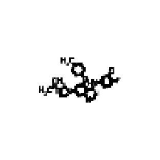 CN1CCC(Oc2cc(N3CC[C@@H](N(C)C)C3)cc3ncnc(Nc4ccc(F)c(Cl)c4)c23)CC1